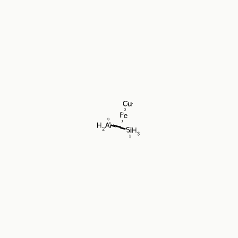 [AlH2][SiH3].[Cu].[Fe]